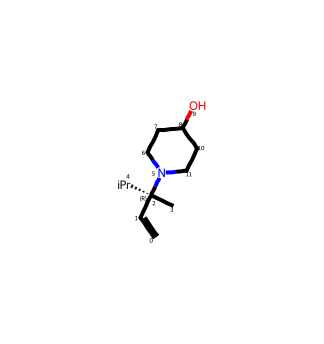 C=C[C@@](C)(C(C)C)N1CCC(O)CC1